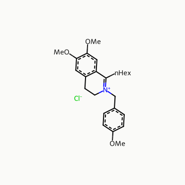 CCCCCCC1=[N+](Cc2ccc(OC)cc2)CCc2cc(OC)c(OC)cc21.[Cl-]